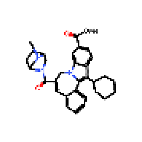 COC(=O)c1ccc2c(C3CCCCC3)c3n(c2c1)CC(C(=O)N1CC2CCC1CN2C)=Cc1ccccc1-3